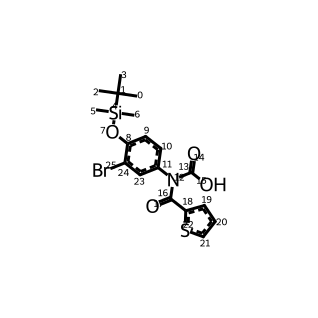 CC(C)(C)[Si](C)(C)Oc1ccc(N(C(=O)O)C(=O)c2cccs2)cc1Br